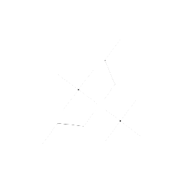 CCC[Si](CCC)(C(C)(C)C)C(C)(C)C